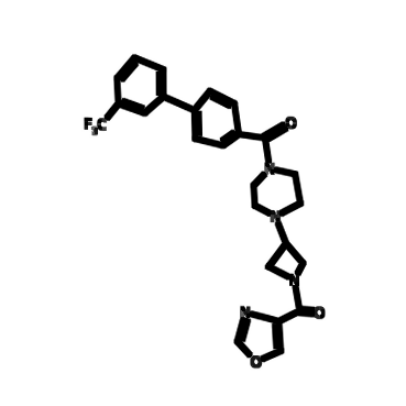 O=C(c1ccc(-c2cccc(C(F)(F)F)c2)cc1)N1CCN(C2CN(C(=O)c3cocn3)C2)CC1